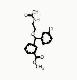 COC(=O)c1cccc(C(OCCNC(C)=O)c2cccc(Cl)c2)c1